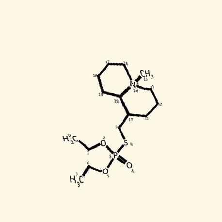 CCOP(=O)(OCC)SCC1CCC[N+]2(C)CCCCC12